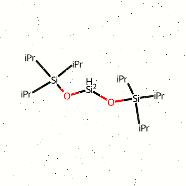 CC(C)[Si](O[SiH2]O[Si](C(C)C)(C(C)C)C(C)C)(C(C)C)C(C)C